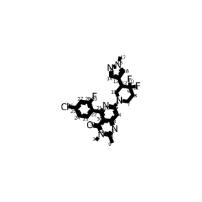 Cc1nc2cc(N3CCC(F)(F)C(c4cnn(C)c4)C3)nc(-c3ccc(Cl)cc3F)c2c(=O)n1C